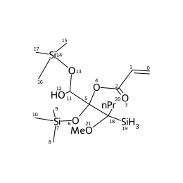 C=CC(=O)OC(O[Si](C)(C)C)(C(O)O[Si](C)(C)C)C([SiH3])(CCC)OC